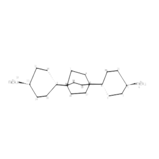 CCCC[C@H]1CC[C@H](C23CCC([C@H]4CC[C@H](CCCC)CC4)(CC2)CC3)CC1